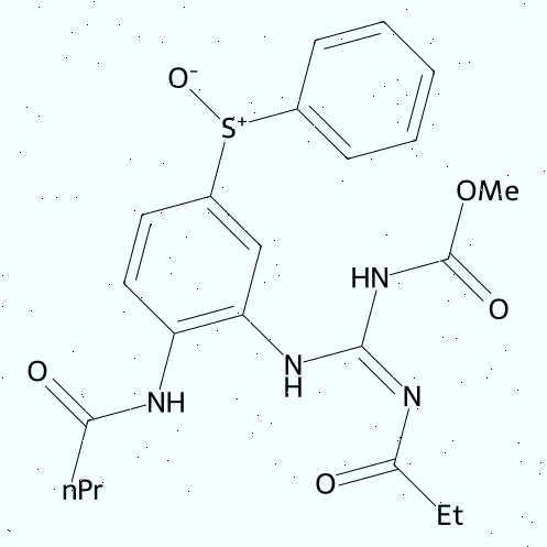 CCCC(=O)Nc1ccc([S+]([O-])c2ccccc2)cc1NC(=NC(=O)CC)NC(=O)OC